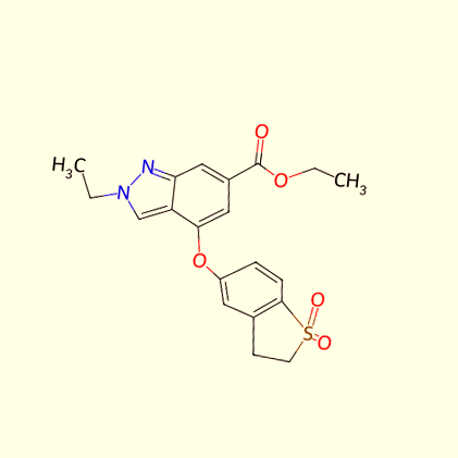 CCOC(=O)c1cc(Oc2ccc3c(c2)CCS3(=O)=O)c2cn(CC)nc2c1